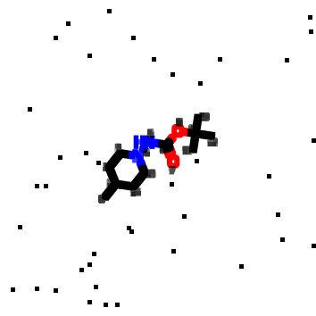 CC1CCN(NC(=O)OC(C)(C)C)CC1